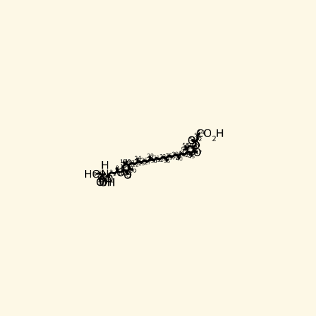 C=C(CCC(=O)NC(CO)(CO)CO)OC1CC(C)(C)C(/C=C/C(C)=C/C=C/C(C)=C/C=C/C=C(C)/C=C/C=C(C)/C=C/C2=C(C)C(=O)C(OC(=O)CCC(=O)O)CC2(C)C)=C(C)C1=O